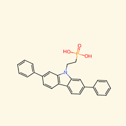 O=P(O)(O)CCn1c2cc(-c3ccccc3)ccc2c2ccc(-c3ccccc3)cc21